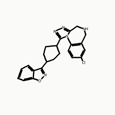 Clc1ccc2c(c1)CNCc1nnc(C3CCC(c4noc5ccccc45)CC3)n1-2